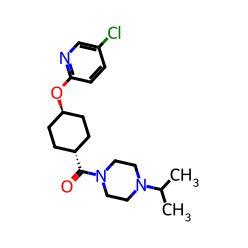 CC(C)N1CCN(C(=O)[C@H]2CC[C@H](Oc3ccc(Cl)cn3)CC2)CC1